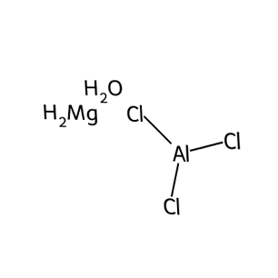 O.[Cl][Al]([Cl])[Cl].[MgH2]